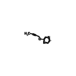 CC#CCOc1cn[c]cn1